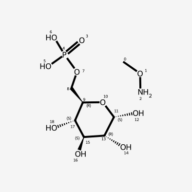 CON.O=P(O)(O)OC[C@H]1O[C@H](O)[C@H](O)[C@@H](O)[C@@H]1O